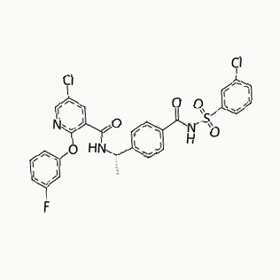 C[C@H](NC(=O)c1cc(Cl)cnc1Oc1cccc(F)c1)c1ccc(C(=O)NS(=O)(=O)c2cccc(Cl)c2)cc1